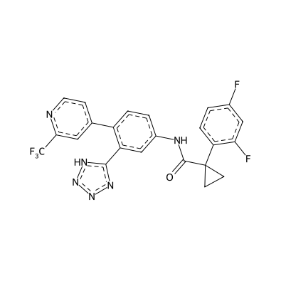 O=C(Nc1ccc(-c2ccnc(C(F)(F)F)c2)c(-c2nnn[nH]2)c1)C1(c2ccc(F)cc2F)CC1